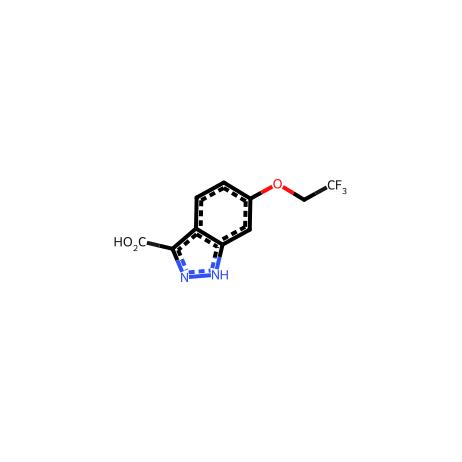 O=C(O)c1n[nH]c2cc(OCC(F)(F)F)ccc12